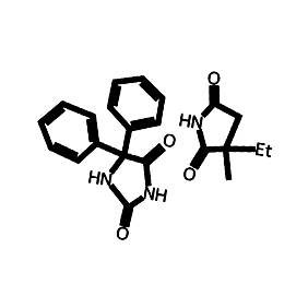 CCC1(C)CC(=O)NC1=O.O=C1NC(=O)C(c2ccccc2)(c2ccccc2)N1